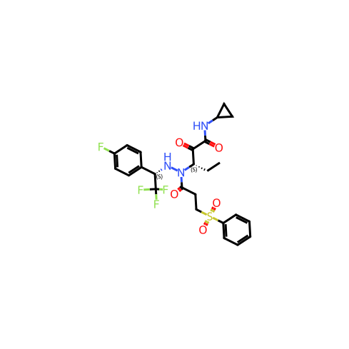 CC[C@@H](C(=O)C(=O)NC1CC1)N(N[C@@H](c1ccc(F)cc1)C(F)(F)F)C(=O)CCS(=O)(=O)c1ccccc1